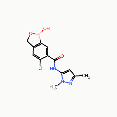 Cc1cc(NC(=O)c2cc3c(cc2Cl)COB3O)n(C)n1